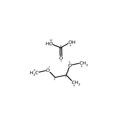 COCC(C)OC.O=C(O)O